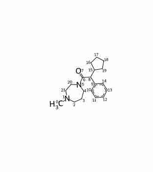 CN1CCCN(C(=O)C(c2ccccc2)C2CCCC2)CC1